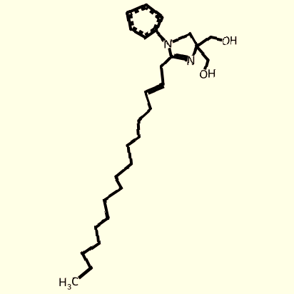 CCCCCCCCCCCCCCC=CCC1=NC(CO)(CO)CN1c1ccccc1